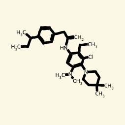 C=C(Cc1ccc(C(C)CC)cc1)Nc1cc(N(C)C)c(N2CCC(C)(C)CC2)c(Cl)c1CC